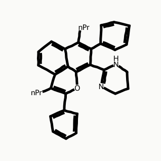 CCCC1=C(c2ccccc2)Oc2c(C3=NCCCN3)c(-c3ccccc3)c(CCC)c3cccc1c23